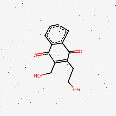 O=C1C(CO)=C(CCO)C(=O)c2ccccc21